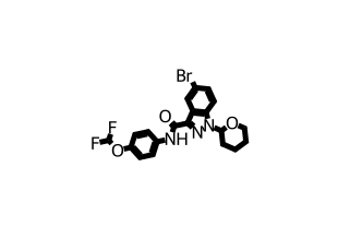 O=C(Nc1ccc(OC(F)F)cc1)c1nn(C2CCCCO2)c2ccc(Br)cc12